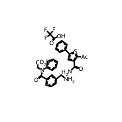 CC(=O)c1sc(-c2ccccc2)cc1C(N)=O.NCc1cccc(C(=O)N(CC(=O)O)c2ccccc2)c1.O=C(O)C(F)(F)F